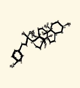 Cc1ccc(CC[C@@](C)(O)[C@H]2CC[C@H]3[C@@H]4CCC5C[C@@H](O)CC[C@]5(C)[C@H]4CC[C@@]32C)cn1